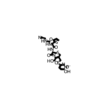 N#CCNC(=O)NC(C(=O)N[C@H]1C(=O)N2C(C(=O)O)=C(CSc3ccc(O)[n+]([O-])n3)CSC12)c1cccs1